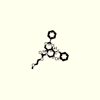 COCCOC(=O)N1C[C@@H](O)[C@H](Sc2ccccc2)[C@@H]2O[C@H](c3ccccc3)OC[C@H]21